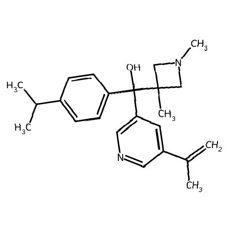 C=C(C)c1cncc(C(O)(c2ccc(C(C)C)cc2)C2(C)CN(C)C2)c1